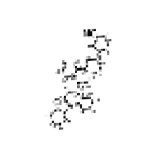 N#Cc1cccc(-c2ccc3cc(-c4cc5oc6ccccc6c5c5ccccc45)c4ccccc4c3c2)c1